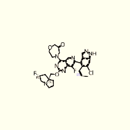 C/C=C\c1c(Cl)cc2[nH]ncc2c1-c1ncc2c(N3CCOCC(=O)C3)nc(OC[C@@]34CCCN3C[C@H](F)C4)nc2c1F